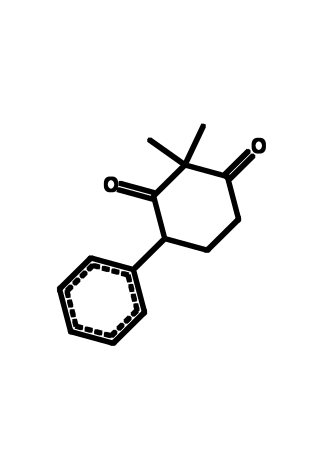 CC1(C)C(=O)CCC(c2ccccc2)C1=O